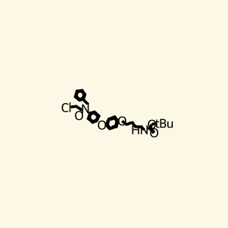 CC(C)(C)OC(=O)NCCCCOc1ccc(Oc2ccc(N(Cc3ccccc3)C(=O)CCl)cc2)cc1